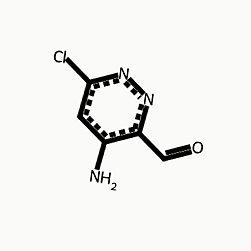 Nc1cc(Cl)nnc1C=O